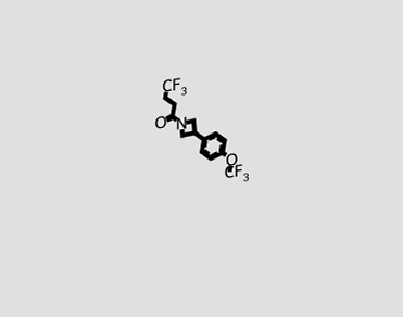 O=C(CCC(F)(F)F)N1CC(c2ccc(OC(F)(F)F)cc2)C1